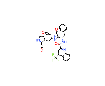 O=C=C[C@H](C[C@@H]1CCNC1=C=O)NC(=C=O)[C@H](Cc1ccccc1)NC(=O)c1cc(C(F)(F)F)c2ccccc2n1